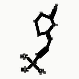 C[Si](C)(C)C#CC=C1CCCC(=O)O1